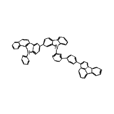 c1ccc(-n2c3ccc(-c4ccc5c6ccccc6n(-c6cccc(-c7ccc(-c8ccc9c%10c(cccc8%10)-c8ccccc8-9)cc7)c6)c5c4)cc3c3ccc4ccccc4c32)cc1